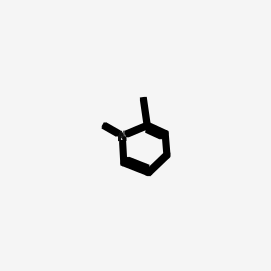 CC1=CCC=CN1C